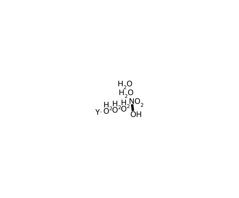 O.O.O.O.O.O=[N+]([O-])O.[Y]